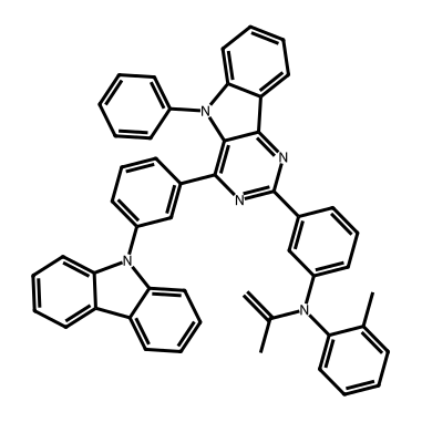 C=C(C)N(c1cccc(-c2nc(-c3cccc(-n4c5ccccc5c5ccccc54)c3)c3c(n2)c2ccccc2n3-c2ccccc2)c1)c1ccccc1C